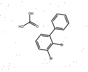 Brc1cccc(-c2ccccc2)c1Br.O=C(O)O